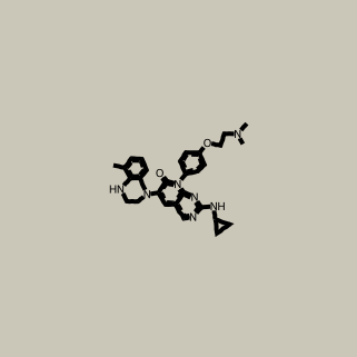 Cc1cccc2c1NCCN2c1cc2cnc(NC3CC3)nc2n(-c2ccc(OCCN(C)C)cc2)c1=O